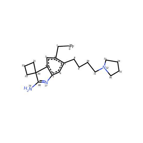 CC(C)Cc1cc2c(cc1CCCCN1CCCC1)N=C(N)C21CCC1